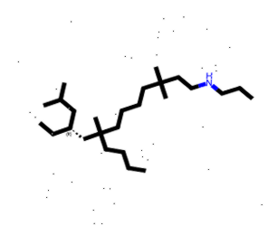 CCCCC(C)(CCCCC(C)(C)CCNCCC)C[C@H](CC)CC(C)C